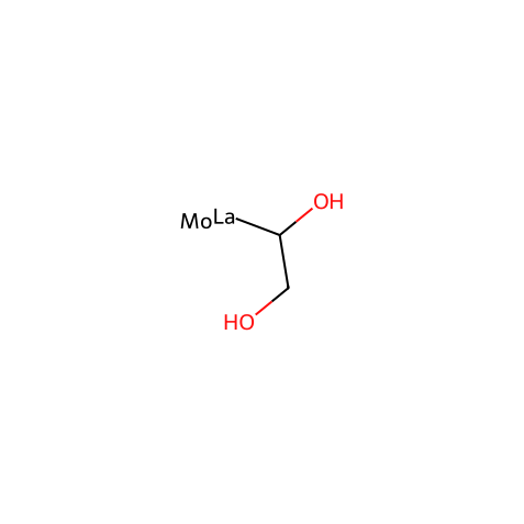 OC[CH](O)[La].[Mo]